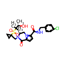 C[C@H](O)C(C)(C)S(=O)(=O)C1(CN2CCn3c(C(=O)NCc4ccc(Cl)cc4)ccc3C2=O)CC1